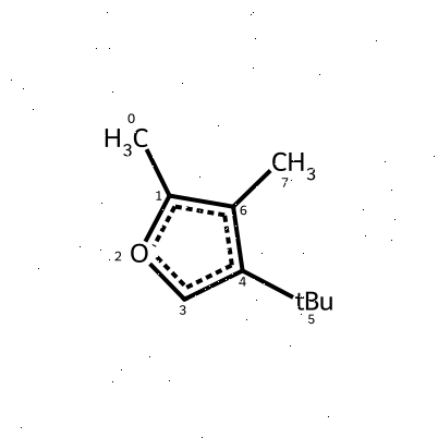 Cc1occ(C(C)(C)C)c1C